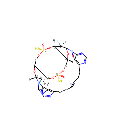 O=[P@@]1(S)OCC2O[C@@H]3[C@H](F)[C@@H]2O[P@](=O)(S)OC[C@H]2OC([C@H](F)[C@@H]2O1)n1cnc2c(ncnc21)CC/C=C/CCc1ncnc2c1ncn23